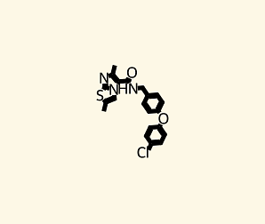 Cc1cn2c(C(=O)NCc3ccc(Oc4ccc(Cl)cc4)cc3)c(C)nc2s1